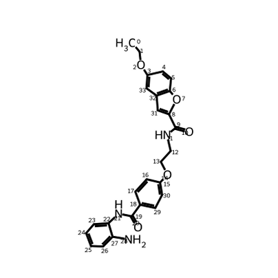 CCOc1ccc2oc(C(=O)NCCOc3ccc(C(=O)Nc4ccccc4N)cc3)cc2c1